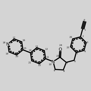 C#Cc1ccc(CC2CCN(c3ccc(-c4ccncc4)cc3)C2=O)cc1